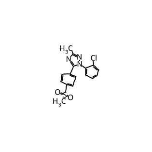 Cc1nc(-c2ccc(S(C)(=O)=O)cc2)n(-c2ccccc2Cl)n1